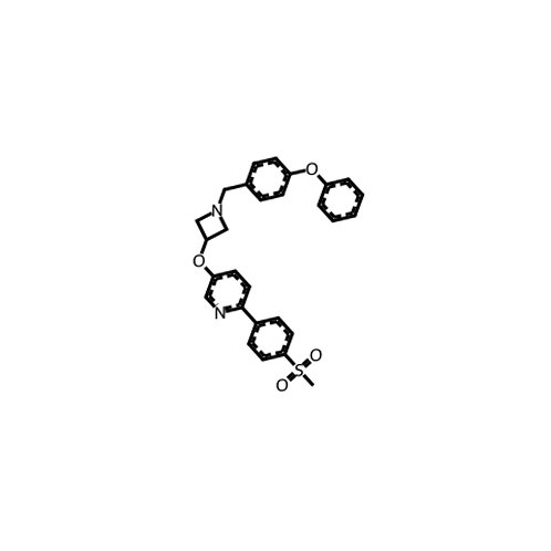 CS(=O)(=O)c1ccc(-c2ccc(OC3CN(Cc4ccc(Oc5ccccc5)cc4)C3)cn2)cc1